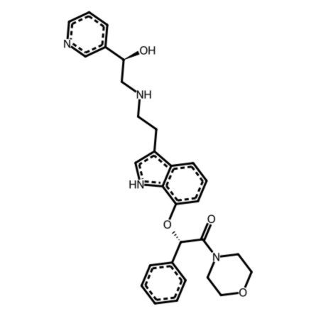 O=C([C@@H](Oc1cccc2c(CCNC[C@H](O)c3cccnc3)c[nH]c12)c1ccccc1)N1CCOCC1